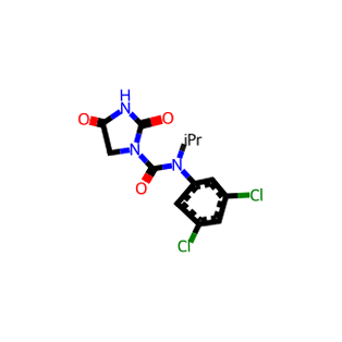 CC(C)N(C(=O)N1CC(=O)NC1=O)c1cc(Cl)cc(Cl)c1